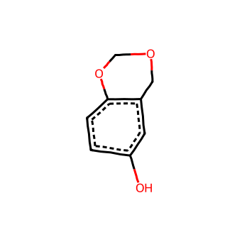 Oc1ccc2c(c1)COCO2